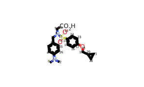 CN(C)c1ccc(CN(CC(=O)O)S(=O)(=O)c2ccc(OCC3CC3)cc2)cc1